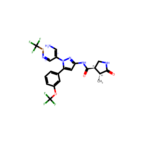 C[C@H]1C(=O)NC[C@@H]1C(=O)Nc1cc(-c2cccc(OC(F)(F)F)c2)n(C(/C=N\SC(F)(F)F)=C/N)n1